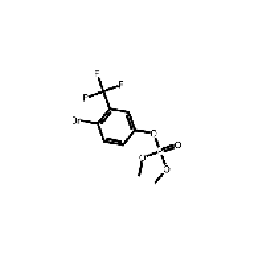 COP(=O)(OC)Oc1ccc(Br)c(C(F)(F)F)c1